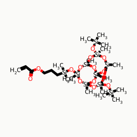 C=CC(=O)OCCC[Si](C)(C)O[Si]1(C)O[Si]2(C)O[Si](C)(O[Si](C)(C)C)O[Si]3(C)O[Si](C)(O[Si](C)(C)C)O[Si](C)(O1)O[Si](C)(O3)O2